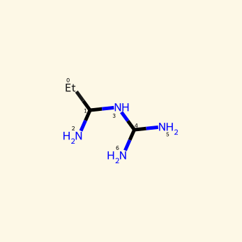 CCC(N)NC(N)N